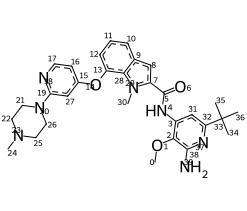 COc1c(NC(=O)c2cc3cccc(Oc4ccnc(N5CCN(C)CC5)c4)c3n2C)cc(C(C)(C)C)nc1N